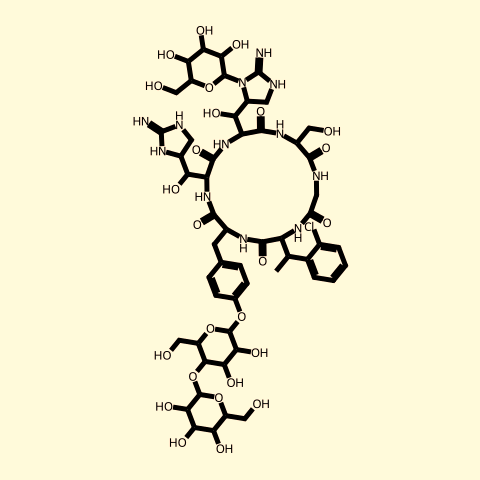 CC(c1ccccc1Cl)C1NC(=O)CNC(=O)C(CO)NC(=O)C(C(O)C2CNC(=N)N2C2OC(CO)C(O)C(O)C2O)NC(=O)C(C(O)C2CNC(=N)N2)NC(=O)C(Cc2ccc(OC3OC(CO)C(OC4OC(CO)C(O)C(O)C4O)C(O)C3O)cc2)NC1=O